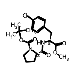 COC(=O)[C@H](Cc1ccc(Cl)cc1)NC(=O)[C@@H]1CCCN1C(=O)OC(C)(C)C